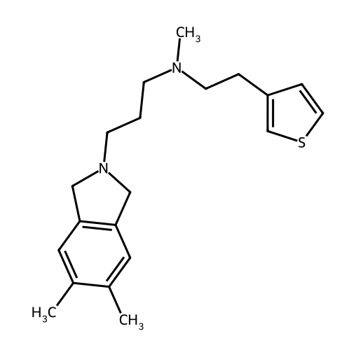 Cc1cc2c(cc1C)CN(CCCN(C)CCc1ccsc1)C2